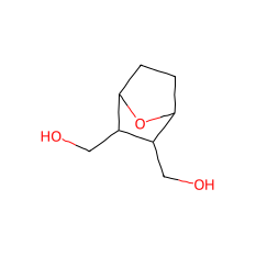 OCC1C2CCC(O2)C1CO